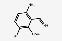 COc1c(Br)ccc(N)c1C=N